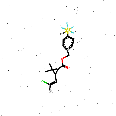 CCS(F)(F)(F)(F)c1ccc(COC(=O)C2C(C=C(Cl)C(F)(F)F)C2(C)C)cc1